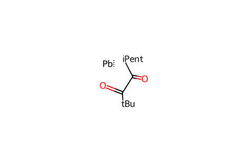 CCCC(C)C(=O)C(=O)C(C)(C)C.[Pb]